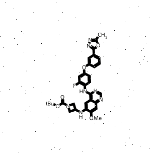 COc1cc2ncnc(Nc3ccc(Oc4cccc(-c5nnc(C)o5)c4)cc3F)c2cc1NC1CN(C(=O)OC(C)(C)C)C1